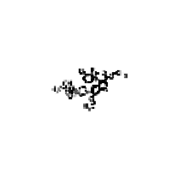 CCOC(=O)c1cnc2cc(OCC)c(N3CCN(C(=O)OC(C)(C)C)CC3)cc2c1Nc1cccc(Cl)c1F